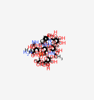 CO[C@H](COP(=O)(O)OC1OC(C(N)=O)C(C)(O)C(OC(N)=O)C1OC1OC(COC2OC(CO)C(O)C(O)C2O)C(OC2OC(C)C(OC3OC(C(=O)NC4=C(O)CCC4=O)C(O)C(O)C3O)C(O)C2NC(C)=O)C(O)C1NC(C)=O)C(=O)O